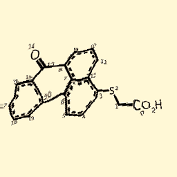 O=C(O)CSc1ccc2c3c(cccc13)C(=O)c1ccccc1-2